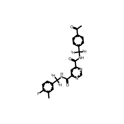 [2H]C([2H])(NC(=O)c1cc(C(=O)NC([2H])([2H])c2ccc(F)c(C)c2)ncn1)c1ccc(C(C)=O)cc1